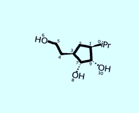 CC(C)[C@@H]1C[C@H](CCO)[C@@H](O)[C@H]1O